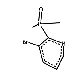 CP(C)(=O)c1ncccc1Br